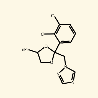 CCCC1COC(Cn2cncn2)(c2cccc(Cl)c2Cl)O1